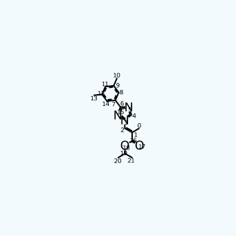 C/C(=C\n1cnc(-c2cc(C)cc(C)c2)n1)C(=O)OC(C)C